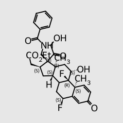 CCOC(=O)C[C@@H]1C[C@H]2C3C[C@H](F)C4=CC(=O)C=C[C@]4(C)[C@@]3(F)[C@@H](O)C[C@]2(C)[C@@]1(CNC(=O)c1ccccc1)C(=O)CO